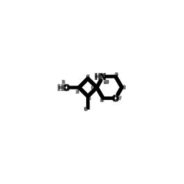 CC1C(O)CC12COCCN2